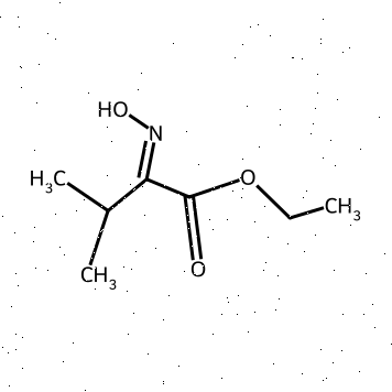 CCOC(=O)C(=NO)C(C)C